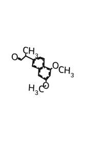 COc1cc(OC)c2ccc(C(C)C=O)cc2c1